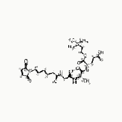 C[C@H](NC(=O)CNC(=O)CCCCCN1C(=O)C=CC1=O)C(=O)N[C@@H](CCC(=O)O)C(=O)OCCS(C)(C)C